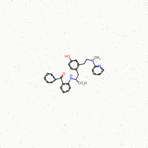 CN(CCc1cc(O)ccc1C[C@H](Nc1ccccc1C(=O)c1ccccc1)C(=O)O)c1ccccn1